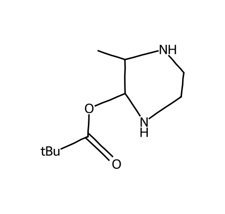 CC1NCCNC1OC(=O)C(C)(C)C